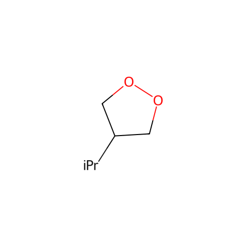 CC(C)C1COOC1